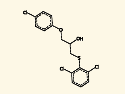 OC(COc1ccc(Cl)cc1)CSc1c(Cl)cccc1Cl